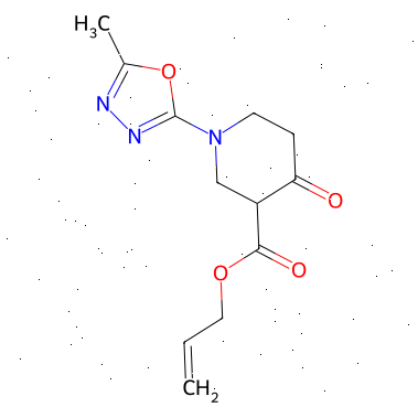 C=CCOC(=O)C1CN(c2nnc(C)o2)CCC1=O